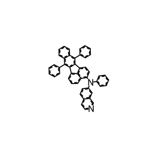 c1ccc(-c2c3c(c(-c4ccccc4)c4ccccc24)-c2ccc(N(c4ccccc4)c4ccc5ccncc5c4)c4cccc-3c24)cc1